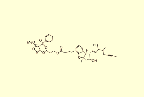 CC#CCC(C)[C@@H](O)/C=C/[C@H]1[C@@H]2c3cccc(CCCC(=O)OCCCOc4no[n+](OC)c4S(=O)(=O)c4ccccc4)c3O[C@@H]2C[C@@H]1O